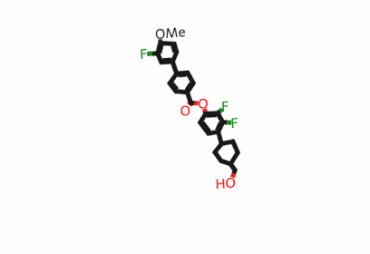 COc1ccc(-c2ccc(C(=O)Oc3ccc(C4CCC(CO)CC4)c(F)c3F)cc2)cc1F